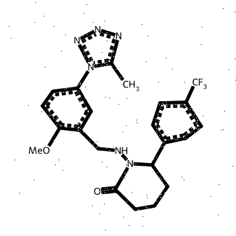 COc1ccc(-n2nnnc2C)cc1CNN1C(=O)CCCC1c1ccc(C(F)(F)F)cc1